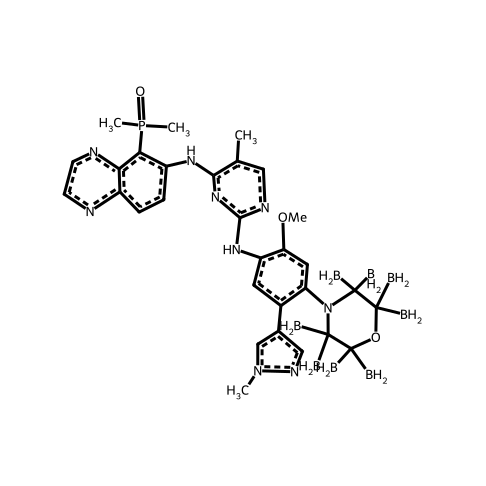 BC1(B)OC(B)(B)C(B)(B)N(c2cc(OC)c(Nc3ncc(C)c(Nc4ccc5nccnc5c4P(C)(C)=O)n3)cc2-c2cnn(C)c2)C1(B)B